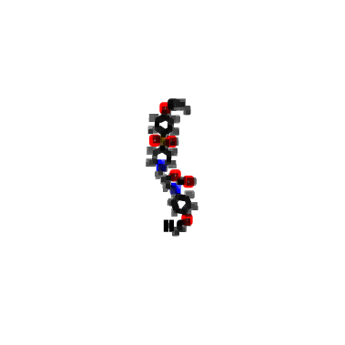 COc1ccc(N2C[C@H](CN3CCC(S(=O)(=O)c4ccc(OC)cc4)CC3)OC2=O)cc1